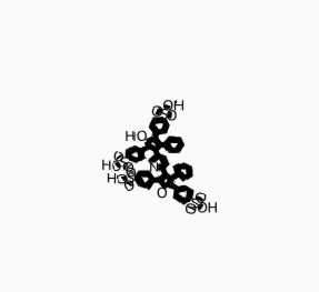 O=C1C(c2ccc(S(=O)(=O)O)cc2)=C(c2ccccc2)C(c2ccc(C3=C(c4ccc(S(=O)(=O)O)cc4)C(O)C(c4ccc(S(=O)(=O)O)cc4)=C3c3ccccc3)cn2)=C1c1ccc(S(=O)(=O)O)cc1